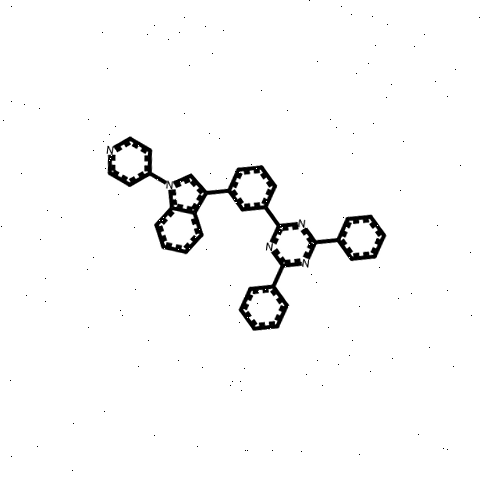 c1ccc(-c2nc(-c3ccccc3)nc(-c3cccc(-c4cn(-c5ccncc5)c5ccccc45)c3)n2)cc1